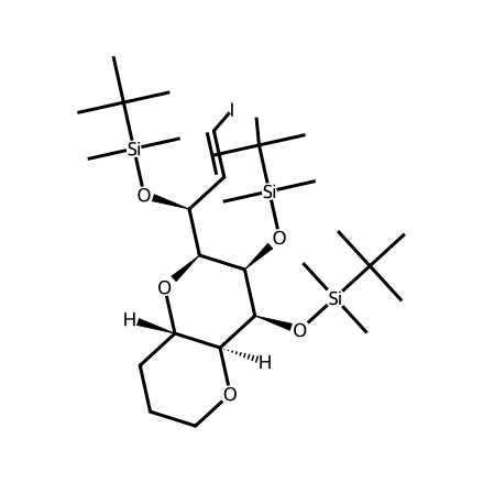 CC(C)(C)[Si](C)(C)O[C@@H]1[C@H](O[Si](C)(C)C(C)(C)C)[C@H]([C@H](/C=C/I)O[Si](C)(C)C(C)(C)C)O[C@H]2CCCO[C@H]12